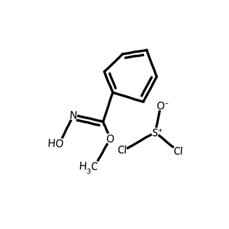 COC(=NO)c1ccccc1.[O-][S+](Cl)Cl